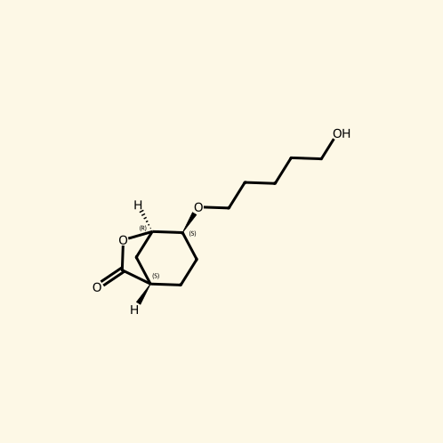 O=C1O[C@@H]2C[C@@H]1CC[C@@H]2OCCCCCO